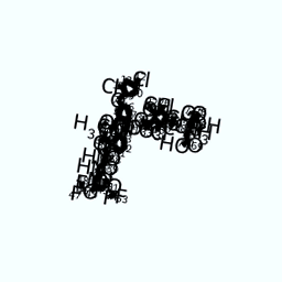 COC(=O)c1cc(Oc2ccc(Cl)cc2Cl)ccc1[N+](=O)[O-].COc1c(Cl)ccc(Cl)c1C(=O)O.C[S+](C)C.O=C(Nc1nc(OC(F)F)cc(OC(F)F)n1)NS(=O)(=O)c1ccccc1C(=O)O.O=C(O)CNCP(=O)([O-])O